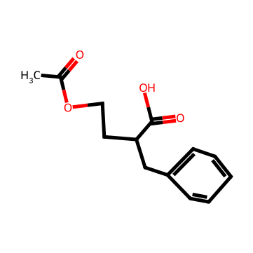 CC(=O)OCCC(Cc1ccccc1)C(=O)O